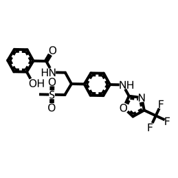 CS(=O)(=O)CC(CNC(=O)c1ccccc1O)c1ccc(Nc2nc(C(F)(F)F)co2)cc1